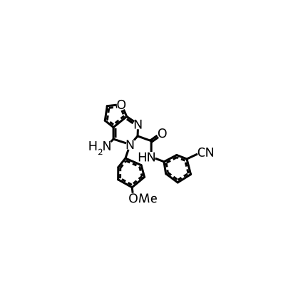 COc1ccc(N2C(N)=c3ccoc3=NC2C(=O)Nc2cccc(C#N)c2)cc1